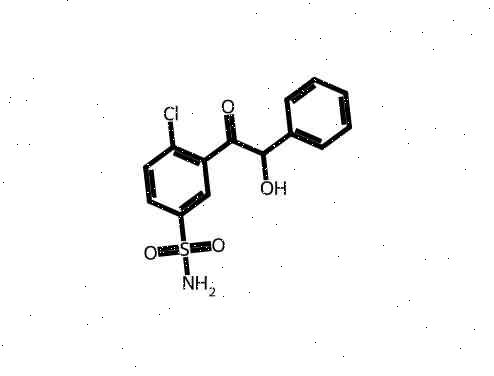 NS(=O)(=O)c1ccc(Cl)c(C(=O)C(O)c2ccccc2)c1